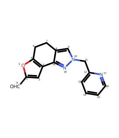 O=Cc1cc2c(o1)CCc1cn(Cc3ccccn3)nc1-2